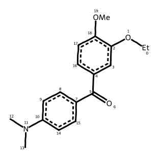 CCOc1cc(C(=O)c2ccc(N(C)C)cc2)ccc1OC